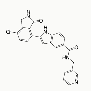 O=C(NCc1cccnc1)c1ccc2[nH]c(-c3ccc(Cl)c4c3C(=O)NC4)cc2c1